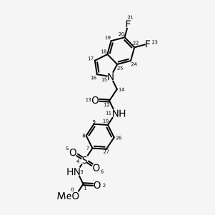 COC(=O)NS(=O)(=O)c1ccc(NC(=O)Cn2ccc3cc(F)c(F)cc32)cc1